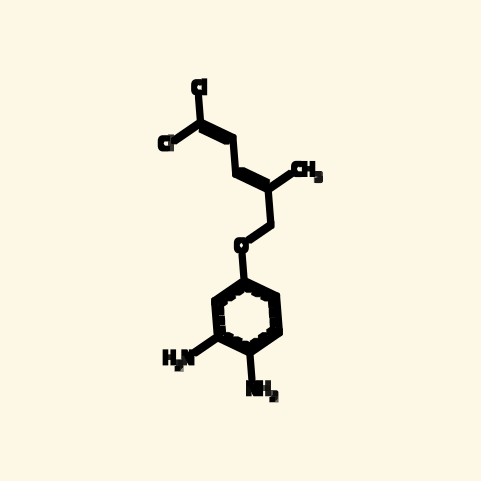 CC(=CC=C(Cl)Cl)COc1ccc(N)c(N)c1